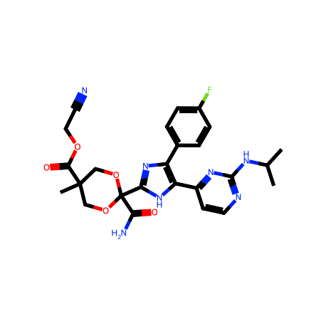 CC(C)Nc1nccc(-c2[nH]c(C3(C(N)=O)OCC(C)(C(=O)OCC#N)CO3)nc2-c2ccc(F)cc2)n1